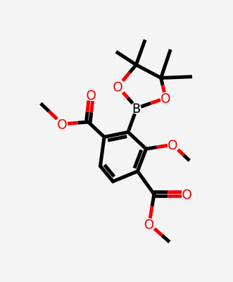 COC(=O)c1ccc(C(=O)OC)c(B2OC(C)(C)C(C)(C)O2)c1OC